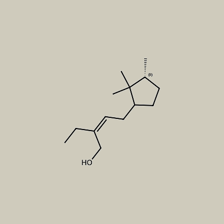 CCC(=CCC1CC[C@@H](C)C1(C)C)CO